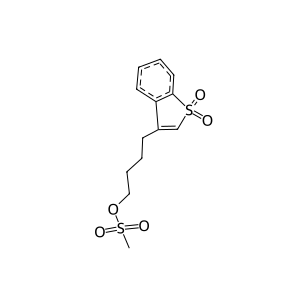 CS(=O)(=O)OCCCCC1=CS(=O)(=O)c2ccccc21